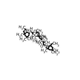 CBCC1(C)CC(NC(=O)OC(C)(C)CC(C)(CC)CC(C)(C)OC(C)(C)C(=O)NCC2(C)CC(CC)CC(C)(C)C2)CC(C)(C)C1